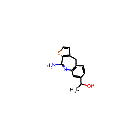 CC(O)c1ccc2c(c1)N=C(N)c1sccc1C2